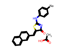 CC(=O)O.O=C1N=C(Nc2cc[c]([Na])cc2)S/C1=C\c1ccc2ccccc2c1